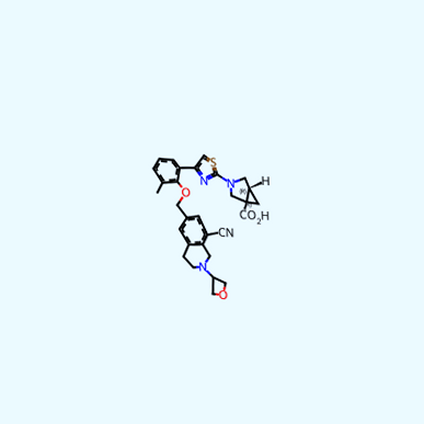 Cc1cccc(-c2csc(N3C[C@@H]4C[C@]4(C(=O)O)C3)n2)c1OCc1cc(C#N)c2c(c1)CCN(C1COC1)C2